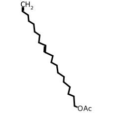 C=CCCCCCCC=CCCCCCCCCCCOC(C)=O